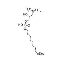 CCCCCCCCCCCCCCCCCCOP(=O)(O)OCC(O)CN(C)C